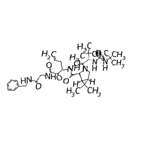 C=CCC(NC(=O)[C@@H]1[C@@H]2[C@H](CN1C(=O)[C@@H](NC(=O)NC(C)(C)C)C(C)(C)C)C2(C)C)C(=O)C(=O)NCC(=O)NCc1ccccc1